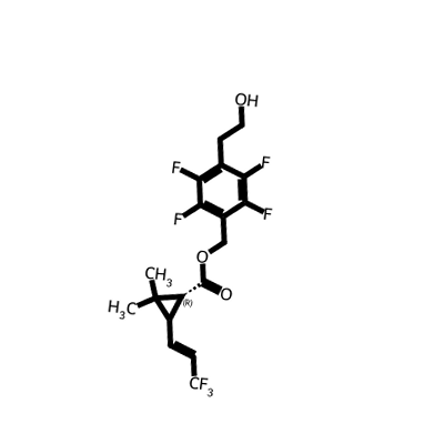 CC1(C)C(C=CC(F)(F)F)[C@H]1C(=O)OCc1c(F)c(F)c(CCO)c(F)c1F